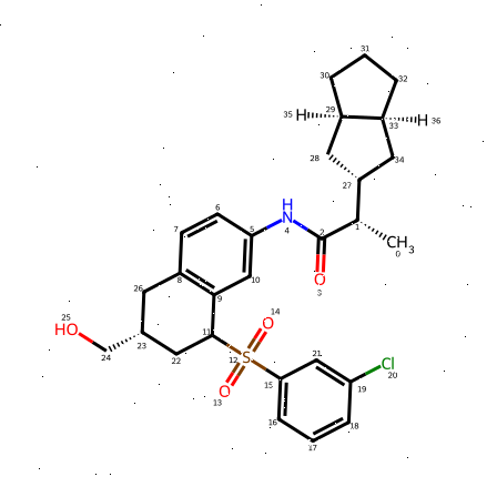 C[C@H](C(=O)Nc1ccc2c(c1)C(S(=O)(=O)c1cccc(Cl)c1)C[C@H](CO)C2)[C@@H]1C[C@H]2CCC[C@H]2C1